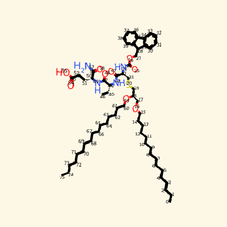 CCCCCCCCCCCCCCCCOC[C@H](CSC[C@H](NC(=O)OCC1c2ccccc2-c2ccccc21)C(=O)N[C@H](CC)C(=O)N[C@H](CCC(=O)O)C(N)=O)OCCCCCCCCCCCCCCCC